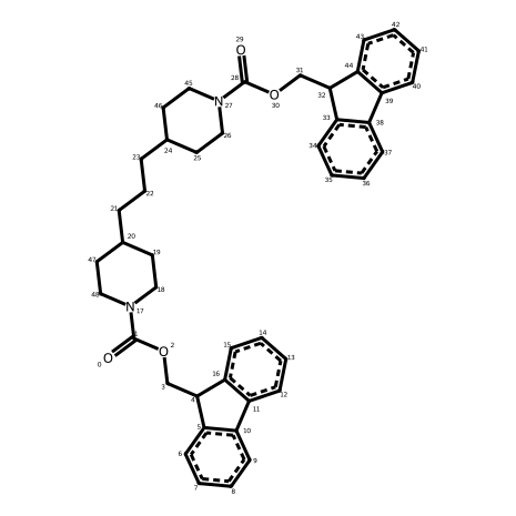 O=C(OCC1c2ccccc2-c2ccccc21)N1CCC(CCCC2CCN(C(=O)OCC3c4ccccc4-c4ccccc43)CC2)CC1